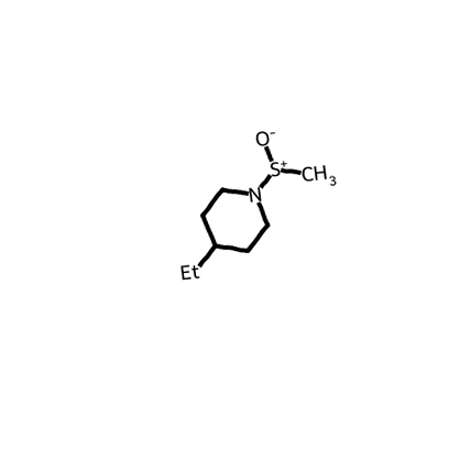 CCC1CCN([S+](C)[O-])CC1